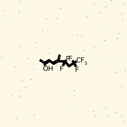 C/C(O)=C/C=C(\C)C(F)(F)CC(F)(F)C(F)(F)F